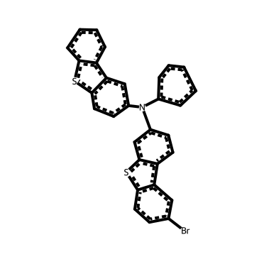 Brc1ccc2sc3cc(N(c4ccccc4)c4ccc5sc6ccccc6c5c4)ccc3c2c1